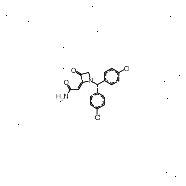 NC(=O)/C=C1\C(=O)CN1C(c1ccc(Cl)cc1)c1ccc(Cl)cc1